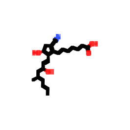 CCCC[C@@H](C)C[C@H](O)/C=C/[C@@H]1C(CCCCCCC(=O)O)=C(C#N)C[C@H]1O